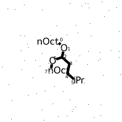 CCCCCCCCOC(CCC(C)C)OCCCCCCCC